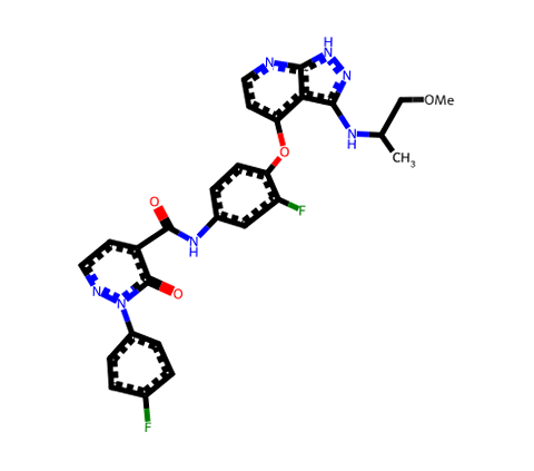 COCC(C)Nc1n[nH]c2nccc(Oc3ccc(NC(=O)c4ccnn(-c5ccc(F)cc5)c4=O)cc3F)c12